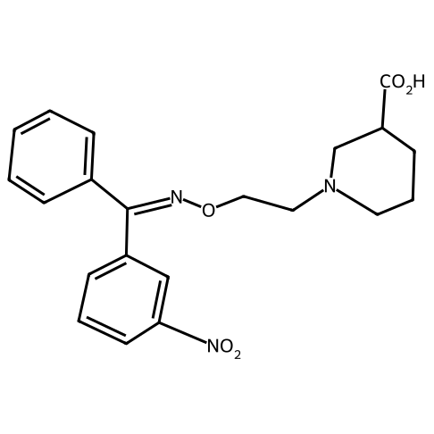 O=C(O)C1CCCN(CCON=C(c2ccccc2)c2cccc([N+](=O)[O-])c2)C1